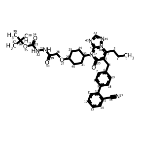 CCCc1c(Cc2ccc(-c3ccccc3C#N)cc2)c(=O)n(C2CCC(OCC(=O)NNC(=O)OC(C)(C)C)CC2)c2ncnn12